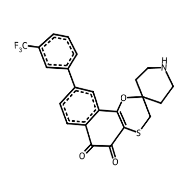 O=C1C(=O)c2ccc(-c3cccc(C(F)(F)F)c3)cc2C2=C1SCC1(CCNCC1)O2